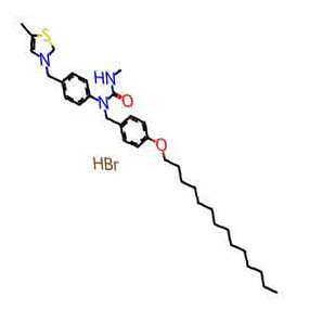 Br.CCCCCCCCCCCCCCOc1ccc(CN(C(=O)NC)c2ccc(CN3C=C(C)SC3)cc2)cc1